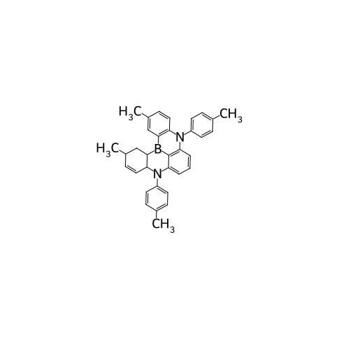 Cc1ccc(N2c3ccc(C)cc3B3c4c2cccc4N(c2ccc(C)cc2)C2C=CC(C)CC32)cc1